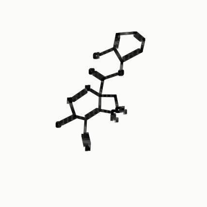 CCC1(C(=O)Oc2ccccc2Cl)N=NC(=O)C(C#N)=C1C